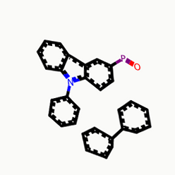 O=Pc1ccc2c(c1)c1ccccc1n2-c1ccccc1.c1ccc(-c2ccccc2)cc1